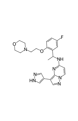 CC(Nc1ccn2ncc(-c3cn[nH]c3)c2n1)c1cc(F)ccc1OCCN1CCOCC1